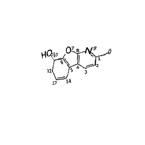 Cc1ccc2c3c(oc2n1)C(O)CC=C3